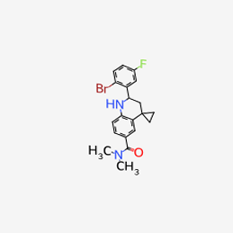 CN(C)C(=O)c1ccc2c(c1)C1(CC1)CC(c1cc(F)ccc1Br)N2